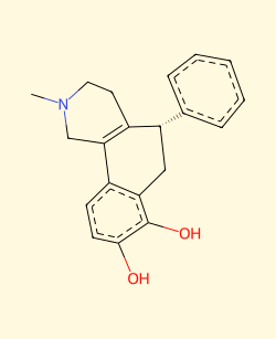 CN1CCC2=C(C1)c1ccc(O)c(O)c1C[C@H]2c1ccccc1